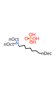 CCCCCCCCCCCCCCCCCN(CCCCCCCC)CCCCCCCC.O=P(O)(O)O